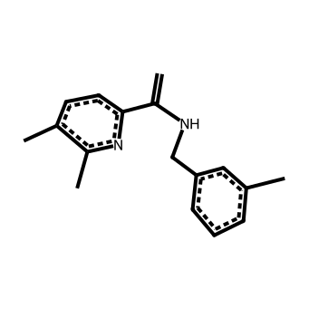 C=C(NCc1cccc(C)c1)c1ccc(C)c(C)n1